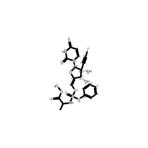 CC(C)OC(=O)C(C)NP(=S)(O/C=C1/O[C@@H](n2ccc(=O)[nH]c2=O)[C@@](O)(C#CI)[C@@H]1O)Oc1ccccc1